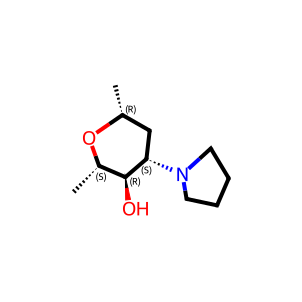 C[C@@H]1C[C@H](N2CCCC2)[C@@H](O)[C@H](C)O1